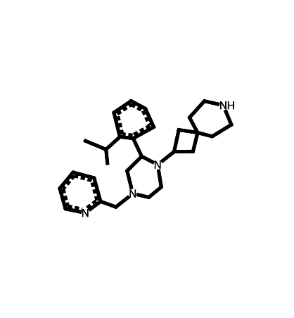 CC(C)c1ccccc1C1CN(Cc2ccccn2)CCN1C1CC2(CCNCC2)C1